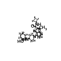 Cn1c(C(=O)NC2CCC2)nc2c(N3CCC(Nc4ccccc4O)CC3)ncnc21